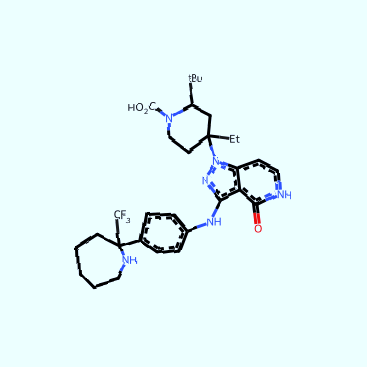 CCC1(n2nc(Nc3ccc(C4(C(F)(F)F)CCCCCN4)cc3)c3c(=O)[nH]ccc32)CCN(C(=O)O)C(C(C)(C)C)C1